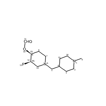 CN1CCC(CN2CC[C@H](OC=O)[C@H](F)C2)CC1